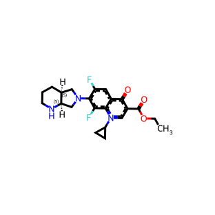 CCOC(=O)c1cn(C2CC2)c2c(F)c(N3C[C@@H]4CCCN[C@@H]4C3)c(F)cc2c1=O